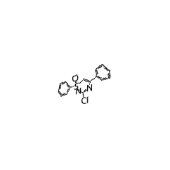 O=S1(c2ccccc2)=NC(Cl)=NC(c2ccccc2)=C1